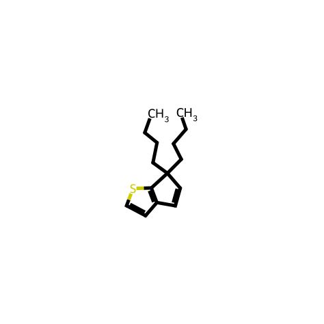 CCCCC1(CCCC)C=Cc2ccsc21